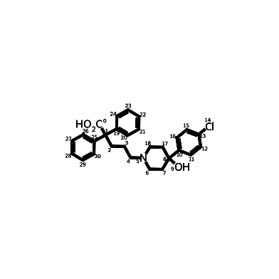 O=C(O)C(CCCN1CCC(O)(c2ccc(Cl)cc2)CC1)(c1ccccc1)c1ccccc1